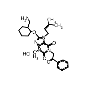 CC(C)=CCn1c(OC2CCCCC2CN)nc2c1c(=O)n(CC(=O)c1ccccc1)c(=O)n2C.Cl